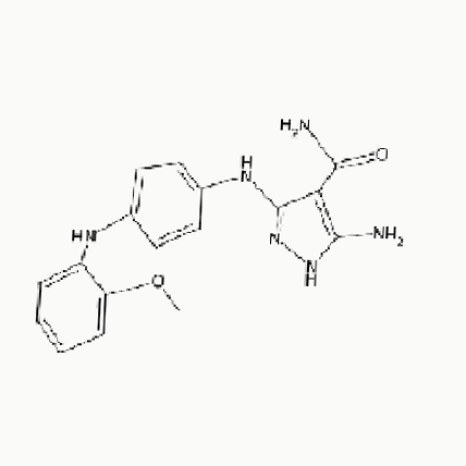 COc1ccccc1Nc1ccc(Nc2n[nH]c(N)c2C(N)=O)cc1